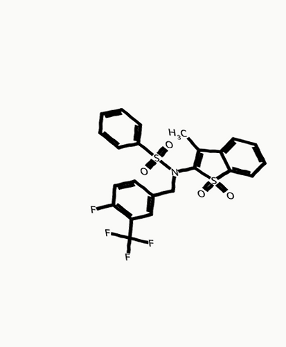 CC1=C(N(Cc2ccc(F)c(C(F)(F)F)c2)S(=O)(=O)c2ccccc2)S(=O)(=O)c2ccccc21